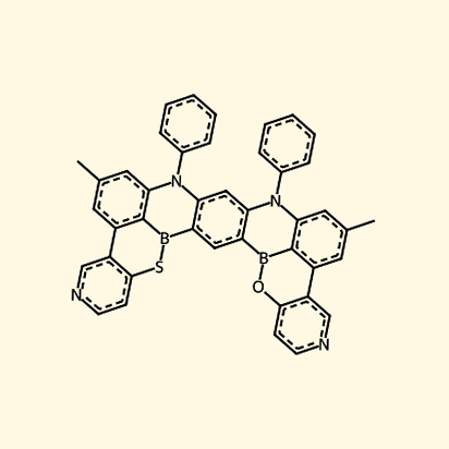 Cc1cc2c3c(c1)N(c1ccccc1)c1cc4c(cc1B3Oc1ccncc1-2)B1Sc2ccncc2-c2cc(C)cc(c21)N4c1ccccc1